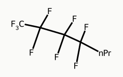 [CH2]CCC(F)(F)C(F)(F)C(F)(F)C(F)(F)F